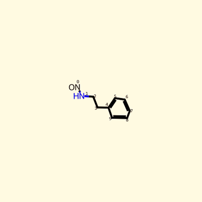 O=NNCCc1ccccc1